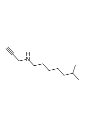 C#CCNCCCCCC(C)C